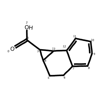 O=C(O)C1C2CCc3ccccc3C21